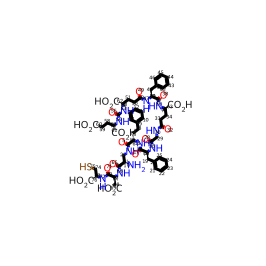 N[C@@H](CNC(=O)[C@H](CCc1ccccc1)NC(=O)[C@H](Cc1ccccc1)NC(=O)CNC(=O)CC[C@@H](NC(=O)[C@H](Cc1ccccc1)NC(=O)CC[C@H](NC(=O)N[C@@H](CCC(=O)O)C(=O)O)C(=O)O)C(=O)O)C(=O)N[C@@H](CC(=O)O)C(=O)N[C@@H](CS)C(=O)O